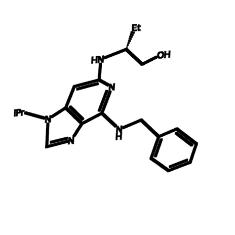 CC[C@H](CO)Nc1cc2c(ncn2C(C)C)c(NCc2ccccc2)n1